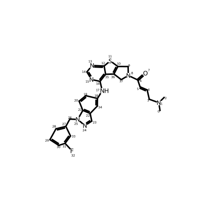 CN(C)C/C=C/C(=O)N1Cc2sc3ncnc(Nc4ccc5c(cnn5Cc5cccc(F)c5)c4)c3c2C1